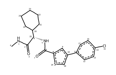 CNC(=O)[C@@H](NC(=O)c1cc(-c2ccc(Cl)cc2)cs1)C1CCCCC1